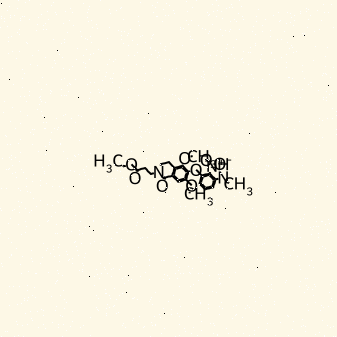 CCOC(=O)CCN1CCc2c(cc(OC)c(Oc3cccc(NC)c3[N+](=O)[O-])c2OC)C1=O